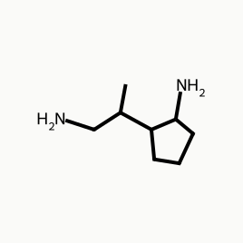 CC(CN)C1CCCC1N